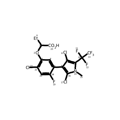 CCC(Oc1cc(-c2c(Cl)c(C(F)(F)C(F)(F)F)n(C)c2Cl)c(F)cc1Cl)C(=O)O